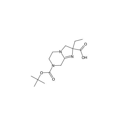 CCC1(C(=O)O)CN2CCN(C(=O)OC(C)(C)C)CC2=N1